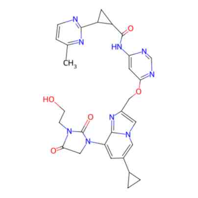 Cc1ccnc(C2CC2C(=O)Nc2cc(OCc3cn4cc(C5CC5)cc(N5CC(=O)N(CCO)C5=O)c4n3)ncn2)n1